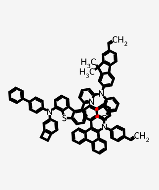 C=Cc1ccc(N(c2ccccc2)c2c(-c3cccc4c3oc3cccc(N(c5ccc6c(c5)C(C)(C)c5cc(C=C)ccc5-6)c5cccc(-c6cccc7sc8c(N(c9ccc(-c%10ccccc%10)cc9)c9ccc%10c(c9)CC%10)cccc8c67)n5)c34)c3ccccc3c3ccccc23)cc1